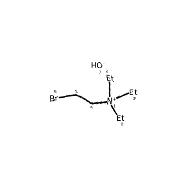 CC[N+](CC)(CC)CCBr.[OH-]